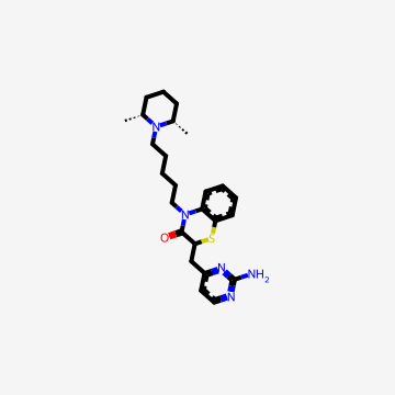 C[C@@H]1CCC[C@H](C)N1CCCCCN1C(=O)C(Cc2ccnc(N)n2)Sc2ccccc21